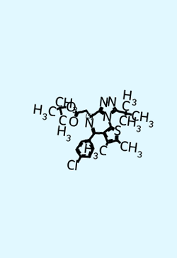 Cc1sc2c(c1C)C(c1ccc(Cl)cc1)=N[C@@H](CC(=O)OC(C)(C)C)c1nnc(C(C)(C)C)n1-2